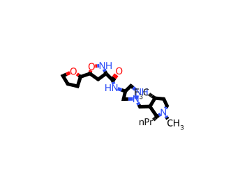 CCCC1C(CN2CC(NC(=O)C3CC(C4CCCO4)ON3)CN2)C(C(F)(F)F)CCN1C